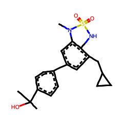 CN1c2cc(-c3ccc(C(C)(C)O)cc3)cc(CC3CC3)c2NS1(=O)=O